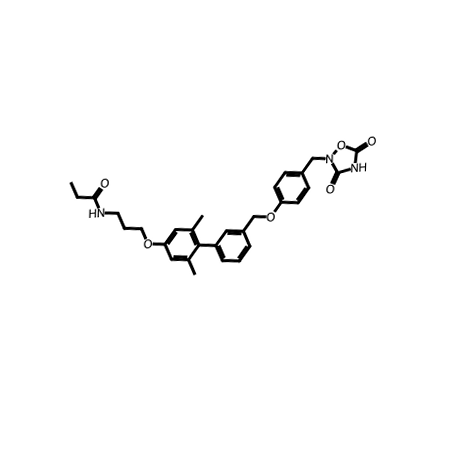 CCC(=O)NCCCOc1cc(C)c(-c2cccc(COc3ccc(Cn4oc(=O)[nH]c4=O)cc3)c2)c(C)c1